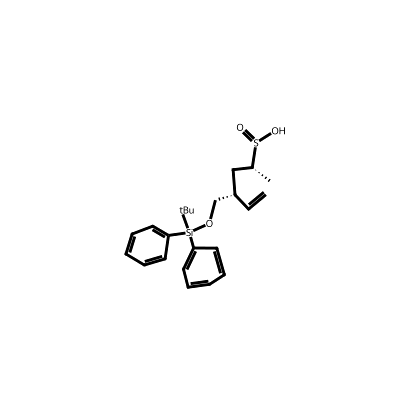 C=C[C@H](CO[Si](c1ccccc1)(c1ccccc1)C(C)(C)C)C[C@@H](C)S(=O)O